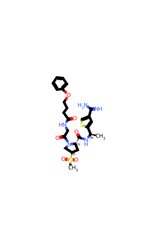 C[C@@H](NC(=O)[C@@H]1C[C@@H](S(C)(=O)=O)CN1C(=O)CNC(=O)CCCOc1ccccc1)c1cc(C(=N)N)cs1